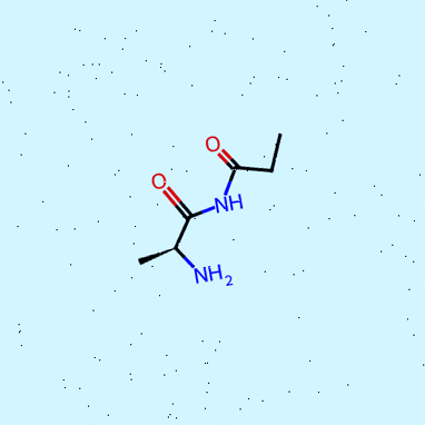 CCC(=O)NC(=O)[C@H](C)N